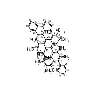 Bc1c(B)c(B)c2c(-c3c4c(B)c(B)c(B)c(B)c4c(-c4cc5ccccc5c5ccccc45)c4c(B)c(B)c(B)c(B)c34)c(B)c(B)c(-c3ccccc3)c2c1B